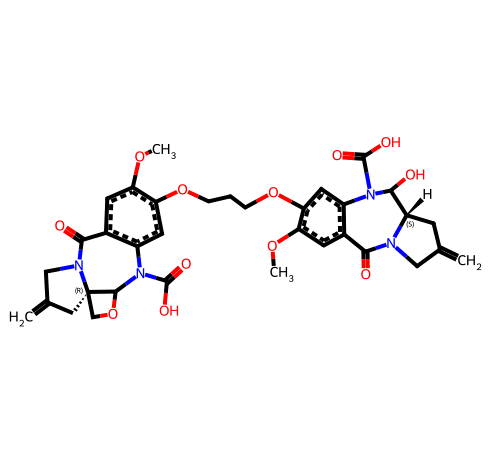 C=C1C[C@H]2C(O)N(C(=O)O)c3cc(OCCCOc4cc5c(cc4OC)C(=O)N4CC(=C)C[C@]46COC6N5C(=O)O)c(OC)cc3C(=O)N2C1